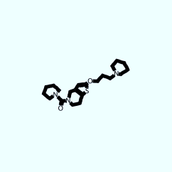 O=C(N1CCCCC1)N1CCc2sc(OCCCN3CCCCC3)cc2C1